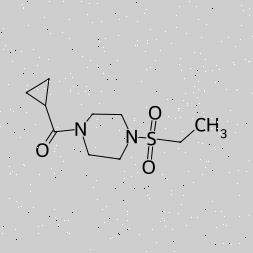 CCS(=O)(=O)N1CCN(C(=O)C2CC2)CC1